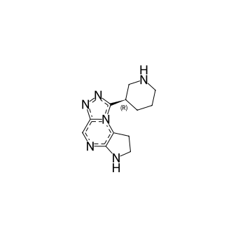 c1nc2c(n3c([C@@H]4CCCNC4)nnc13)CCN2